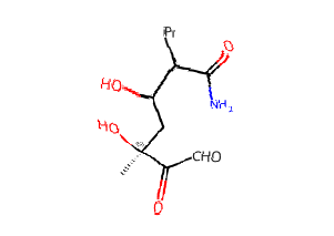 CC(C)C(C(N)=O)C(O)C[C@](C)(O)C(=O)C=O